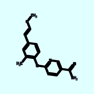 COC=Cc1ccc(Oc2ccc(C(N)=O)cn2)c(C)c1